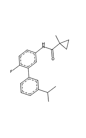 CC(C)c1cccc(-c2cc(NC(=O)C3(C)CC3)ccc2F)c1